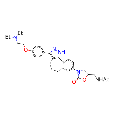 CCN(CC)CCOc1ccc(-c2n[nH]c3c2CCCc2cc(N4CC(CNC(C)=O)OC4=O)ccc2-3)cc1